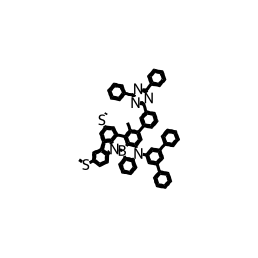 CSc1ccc2c(c1)c1cc(SC)cc3c1n2B1c2ccccc2N(c2cc(-c4ccccc4)cc(-c4ccccc4)c2)c2cc(-c4cccc(-c5nc(-c6ccccc6)nc(-c6ccccc6)n5)c4)c(C)c-3c21